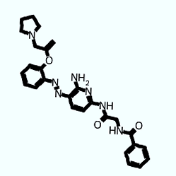 C=C(CN1CCCC1)Oc1ccccc1/N=N/c1ccc(NC(=O)CNC(=O)c2ccccc2)nc1N